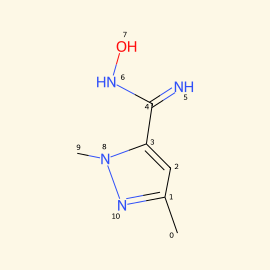 Cc1cc(C(=N)NO)n(C)n1